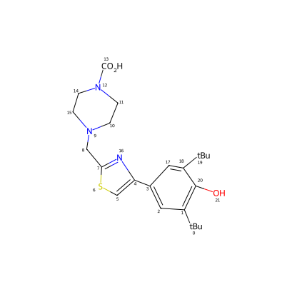 CC(C)(C)c1cc(-c2csc(CN3CCN(C(=O)O)CC3)n2)cc(C(C)(C)C)c1O